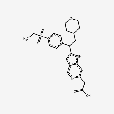 CCS(=O)(=O)c1ccc(C(CC2CCOCC2)c2cc3cnc(CC(=O)O)nc3[nH]2)cc1